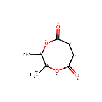 CCCC1OC(=O)CCC(=O)OC1C